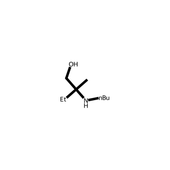 CCCCNC(C)(CC)CO